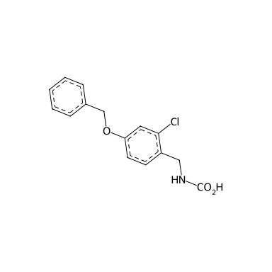 O=C(O)NCc1ccc(OCc2ccccc2)cc1Cl